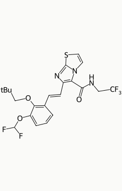 CC(C)(C)COc1c(/C=C/c2nc3sccn3c2C(=O)NCC(F)(F)F)cccc1OC(F)F